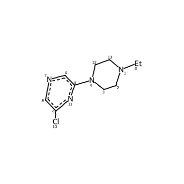 CCN1CCN(c2cncc(Cl)n2)CC1